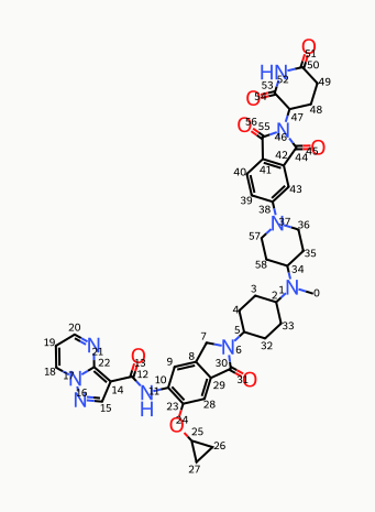 CN(C1CCC(N2Cc3cc(NC(=O)c4cnn5cccnc45)c(OC4CC4)cc3C2=O)CC1)C1CCN(c2ccc3c(c2)C(=O)N(C2CCC(=O)NC2=O)C3=O)CC1